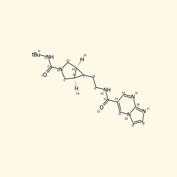 CC(C)(C)NC(=O)N1C[C@@H]2C(CCNC(=O)c3cnc4nccn4c3)[C@@H]2C1